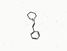 [CH]1CCN(C=Cc2ccccc2)CC1